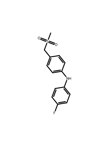 CS(=O)(=O)Cc1ccc(Nc2ccc(F)cc2)cc1